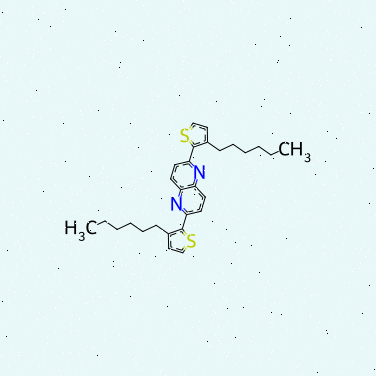 CCCCCCc1ccsc1-c1ccc2nc(-c3sccc3CCCCCC)ccc2n1